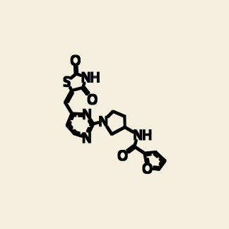 O=C1NC(=O)/C(=C\c2ccnc(N3CCC(NC(=O)c4ccco4)C3)n2)S1